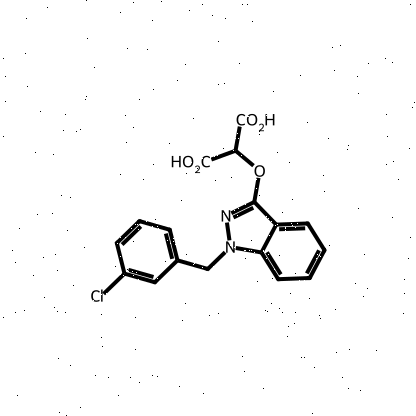 O=C(O)C(Oc1nn(Cc2cccc(Cl)c2)c2ccccc12)C(=O)O